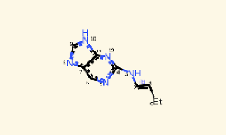 CC/C=C/Nc1ncc2nc[nH]c2n1